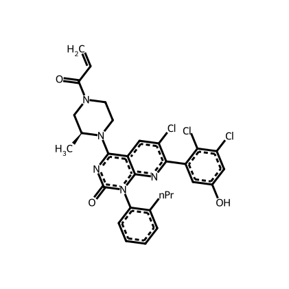 C=CC(=O)N1CCN(c2nc(=O)n(-c3ccccc3CCC)c3nc(-c4cc(O)cc(Cl)c4Cl)c(Cl)cc23)[C@@H](C)C1